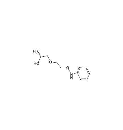 CC(O)COCCONc1ccccc1